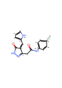 O=C(CC1=NNC(=O)C1=Cc1ccc[nH]1)Nc1ccc(Cl)cc1